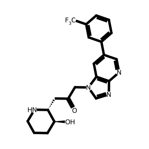 O=C(C[C@H]1NCCC[C@@H]1O)Cn1cnc2ncc(-c3cccc(C(F)(F)F)c3)cc21